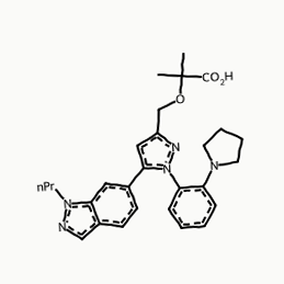 CCCn1ncc2ccc(-c3cc(COC(C)(C)C(=O)O)nn3-c3ccccc3N3CCCC3)cc21